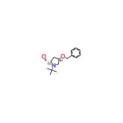 CC(C)(C)N1C[C@H](OCc2ccccc2)C[C@H]1C=O